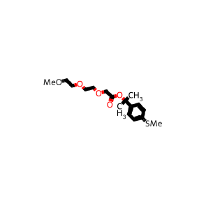 COCCOCCOCC(=O)OC(C)(C)c1ccc(SC)cc1